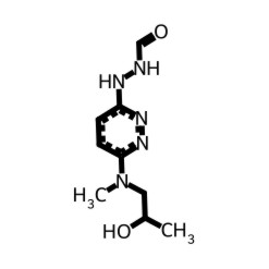 CC(O)CN(C)c1ccc(NNC=O)nn1